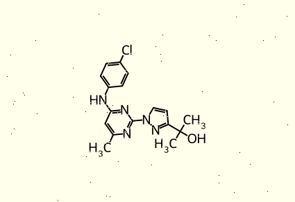 Cc1cc(Nc2ccc(Cl)cc2)nc(-n2ccc(C(C)(C)O)n2)n1